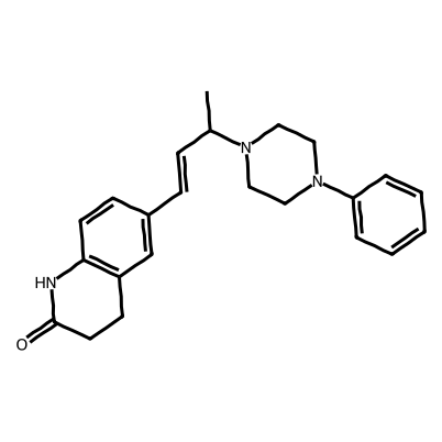 CC(/C=C/c1ccc2c(c1)CCC(=O)N2)N1CCN(c2ccccc2)CC1